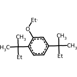 C[CH]Oc1cc(C(C)(C)CC)ccc1C(C)(C)CC